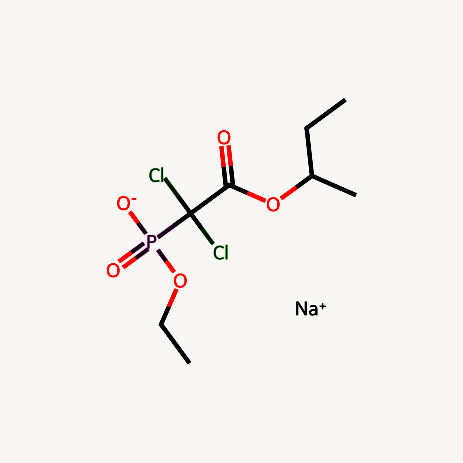 CCOP(=O)([O-])C(Cl)(Cl)C(=O)OC(C)CC.[Na+]